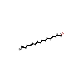 CCC=CCC=CCC=CCCCCCCCCBr